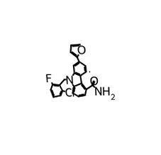 NC(=O)c1cccc2c1c1[c]cc(-c3ccco3)cc1n2Cc1c(F)cccc1Cl